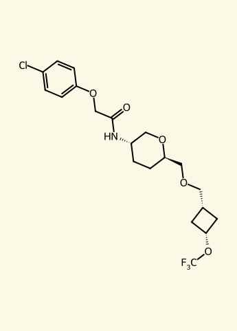 O=C(COc1ccc(Cl)cc1)N[C@H]1CC[C@H](COC[C@H]2C[C@@H](OC(F)(F)F)C2)OC1